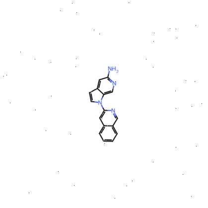 Nc1cc2ccn(-c3cc4ccccc4cn3)c2cn1